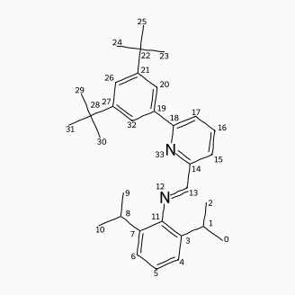 CC(C)c1cccc(C(C)C)c1N=Cc1cccc(-c2cc(C(C)(C)C)cc(C(C)(C)C)c2)n1